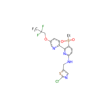 CCS(=O)(=O)c1ccc(NCc2cnc(Cl)s2)nc1-c1ccc(OCC(F)(F)C(F)(F)F)cn1